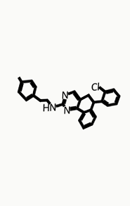 Cc1ccc(CCNc2ncc3c(n2)-c2ccccc2C(c2ccccc2Cl)C3)cc1